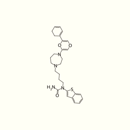 NC(=O)N(CCCCN1CCCN(C2=COC=C(C3=CC=CCC3)O2)CC1)c1cc2ccccc2s1